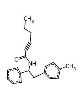 CCCC#CC(=O)NC(Cc1ccc(C)cc1)c1ccccc1